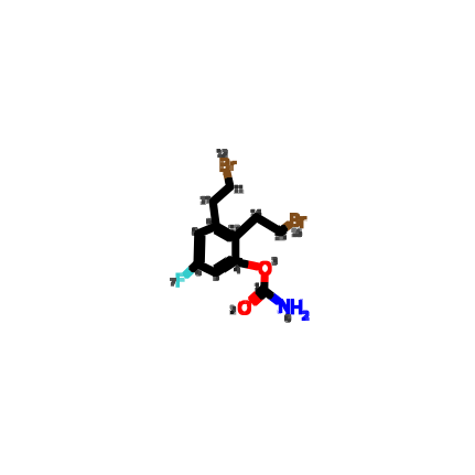 NC(=O)Oc1cc(F)cc(CCBr)c1CCBr